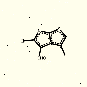 Cc1csc2nc(Cl)c(C=O)n12